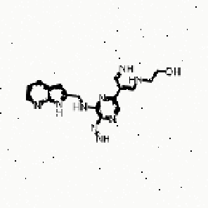 N=C/C(=C\NCCO)c1cnc(N=N)c(NCc2cc3cccnc3[nH]2)n1